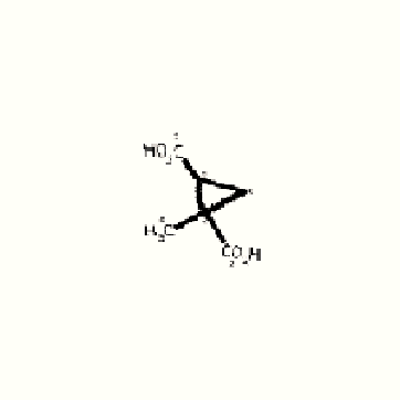 CC1(C(=O)O)CC1C(=O)O